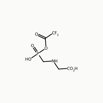 O=C(O)CNCP(=O)(O)OC(=O)C(F)(F)F